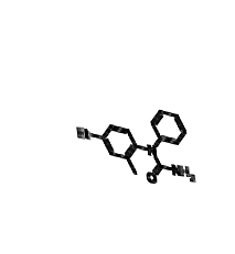 [CH2]Cc1ccc(N(C(N)=O)c2ccccc2)c(C)c1